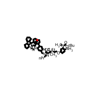 CCCc1nc(C(C)(C)SCCOc2ccc(N)c(N(C)C(=O)OC(C)(C)C)c2)c(C(=O)OCC)n1Cc1ccc(-c2ccccc2-c2nnnn2C(c2ccccc2)(c2ccccc2)c2ccccc2)cc1